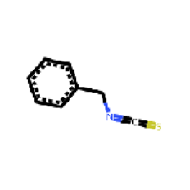 S=C=N[CH]c1ccccc1